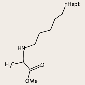 CCCCCCCCCCCCNC(C)C(=O)OC